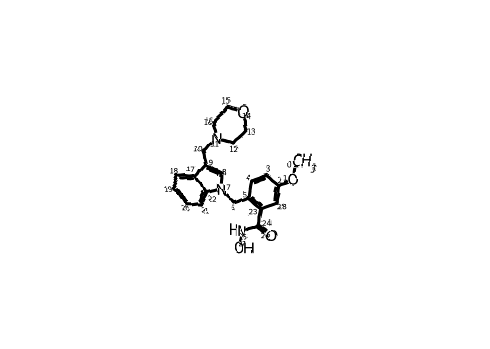 COc1ccc(Cn2cc(CN3CCOCC3)c3ccccc32)c(C(=O)NO)c1